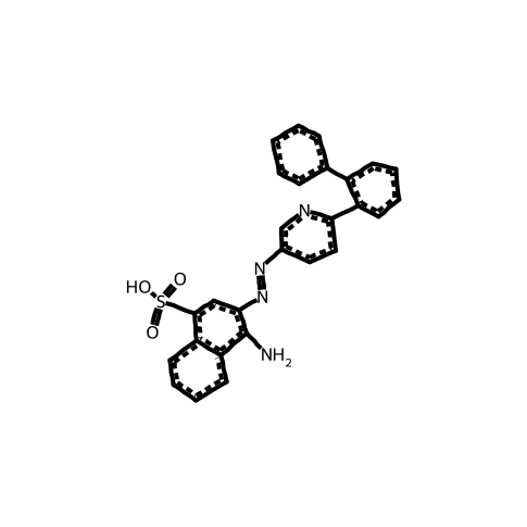 Nc1c(/N=N/c2ccc(-c3ccccc3-c3ccccc3)nc2)cc(S(=O)(=O)O)c2ccccc12